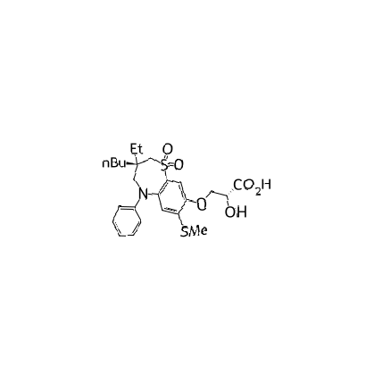 CCCC[C@]1(CC)CN(c2ccccc2)c2cc(SC)c(OC[C@@H](O)C(=O)O)cc2S(=O)(=O)C1